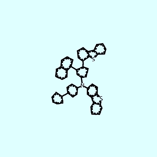 c1ccc(-c2ccc(N(c3ccc(-c4cccc5c4sc4ccccc45)c(-c4cccc5ccccc45)c3)c3ccc4sc5ccccc5c4c3)cc2)cc1